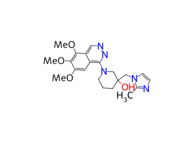 COc1cc2c(N3CCCC(O)(Cn4ccnc4C)C3)nncc2c(OC)c1OC